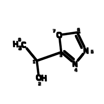 CC(O)c1nn[c]o1